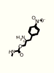 CNC(=O)OC[C@@H](N)Cc1ccc([N+](=O)[O-])cc1